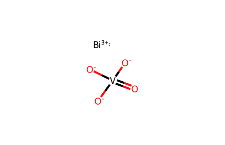 [Bi+3].[O]=[V]([O-])([O-])[O-]